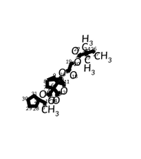 CCC1(OC(=O)C23CC4CC2C(OC3=O)C4OC(=O)COC(=O)C(C)(C)CC)CCCC1